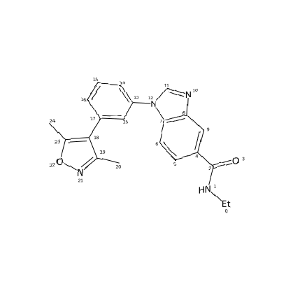 CCNC(=O)c1ccc2c(c1)ncn2-c1cccc(-c2c(C)noc2C)c1